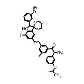 CC(C)Oc1cccc(C(O)C2(c3cc(F)cc(CCc4cc(F)cc(C(=O)C(N=O)c5cccc(OC(C)F)c5)c4)c3)SCCCS2)c1